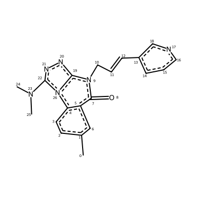 Cc1ccc2c(c1)c(=O)n(CC=Cc1cccnc1)c1nnc(N(C)C)n21